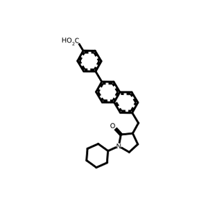 O=C(O)c1ccc(-c2ccc3cc(CC4CCN(C5CCCCC5)C4=O)ccc3c2)cc1